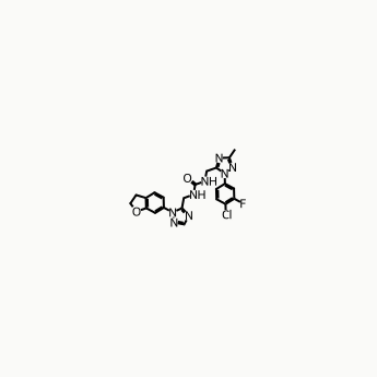 Cc1nc(CNC(=O)NCc2ncnn2-c2ccc3c(c2)OCC3)n(-c2ccc(Cl)c(F)c2)n1